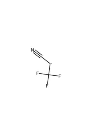 N#C[CH]C(F)(F)F